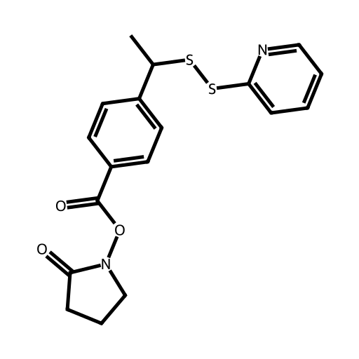 CC(SSc1ccccn1)c1ccc(C(=O)ON2CCCC2=O)cc1